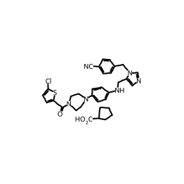 N#Cc1ccc(Cn2cncc2CNc2ccc(N3CCN(C(=O)c4ccc(Cl)s4)CC3)cc2)cc1.O=C(O)C1CCCC1